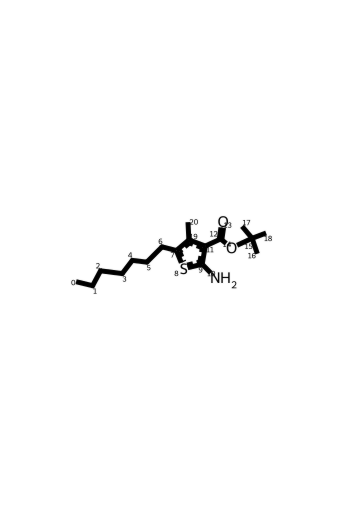 CCCCCCCc1sc(N)c(C(=O)OC(C)(C)C)c1C